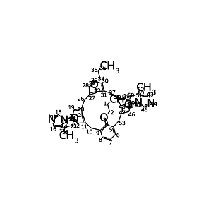 CCCOc1c2cccc1Cc1cc(-n3ccnc3)cc(c1OCCC)Cc1cccc(c1OCCC)Cc1cc(-n3ccnc3)cc(c1OCCC)C2